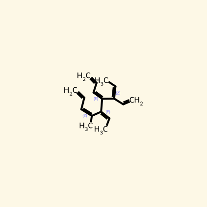 C=C\C=C(C)/C(=C\C)C(=C/C=C)/C(C=C)=C\C